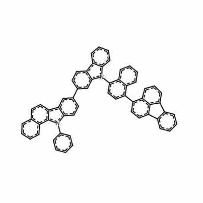 c1ccc(-n2c3ccc(-c4ccc5c6ccccc6n(-c6ccc(-c7ccc8c9c(cccc79)-c7ccccc7-8)c7ccccc67)c5c4)cc3c3ccc4ccccc4c32)cc1